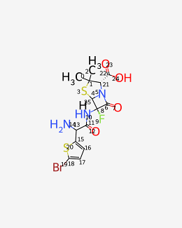 CC1(C)S[C@H]2N(C(=O)[C@]2(F)NC(=O)C(N)c2ccc(Br)s2)[C@H]1C(=O)O